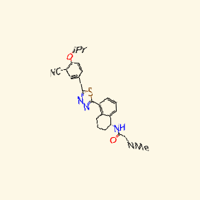 CNCC(=O)N[C@@H]1CCCc2c(-c3nnc(-c4ccc(OC(C)C)c(C#N)c4)s3)cccc21